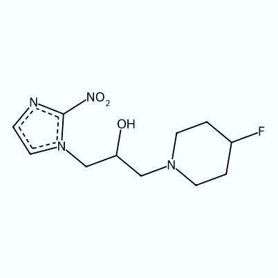 O=[N+]([O-])c1nccn1CC(O)CN1CCC(F)CC1